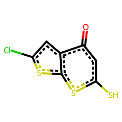 O=c1cc(S)sc2sc(Cl)cc12